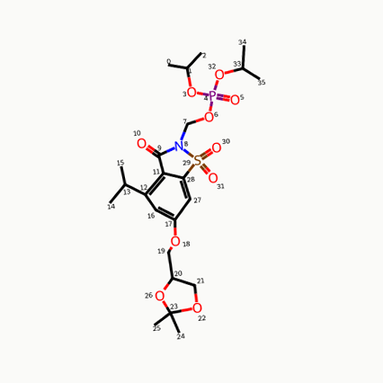 CC(C)OP(=O)(OCN1C(=O)c2c(C(C)C)cc(OCC3COC(C)(C)O3)cc2S1(=O)=O)OC(C)C